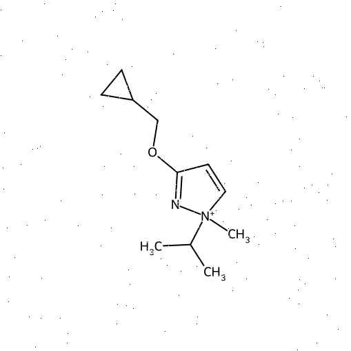 CC(C)[N+]1(C)C=CC(OCC2CC2)=N1